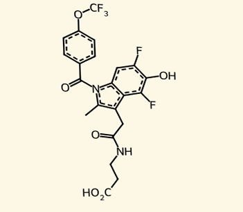 Cc1c(CC(=O)NCCC(=O)O)c2c(F)c(O)c(F)cc2n1C(=O)c1ccc(OC(F)(F)F)cc1